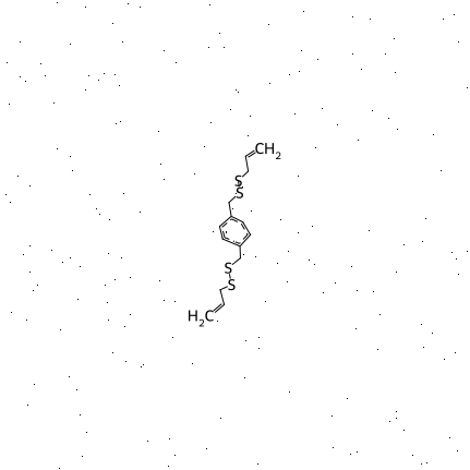 C=CCSSCc1ccc(CSSCC=C)cc1